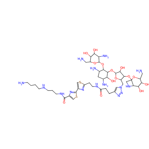 NCCCCNCCCNC(=O)c1csc(-c2csc(CCNC(=O)CCc3cn(CC4OC(OC5C(O)C(N)CC(N)C5OC5OC(CN)C(O)C(O)C5N)C(O)C4OC45CNC4C(O)C(O)C(CN)O5)nn3)n2)n1